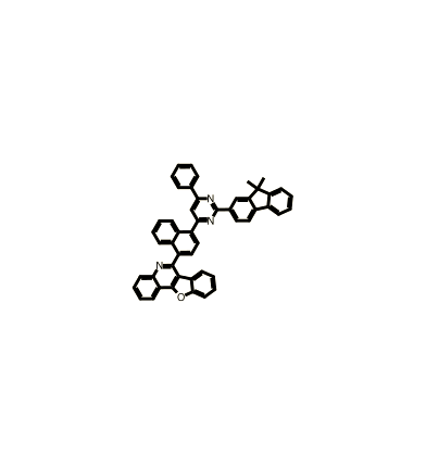 CC1(C)c2ccccc2-c2ccc(-c3nc(-c4ccccc4)cc(-c4ccc(-c5nc6ccccc6c6oc7ccccc7c56)c5ccccc45)n3)cc21